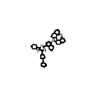 c1ccc(-c2ccc(-c3nc(-c4ccc(-n5c6ccc7cccc8sc9cccc%10ccc5c(c%109)c6c78)c5ccccc45)nc4c3sc3ccccc34)cc2)cc1